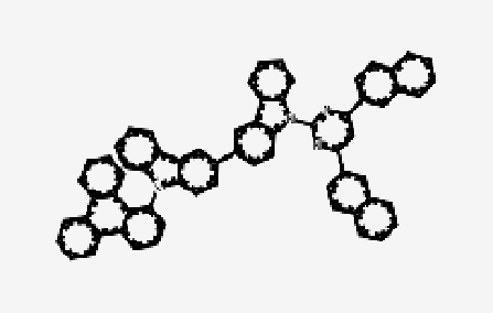 c1ccc2cc(-c3cc(-c4ccc5ccccc5c4)nc(-n4c5ccccc5c5cc(-c6ccc7c(c6)c6ccccc6n7-c6cccc7c8ccccc8c8ccccc8c67)ccc54)n3)ccc2c1